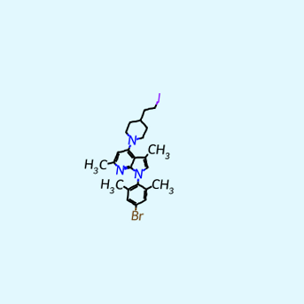 Cc1cc(N2CCC(CCI)CC2)c2c(C)cn(-c3c(C)cc(Br)cc3C)c2n1